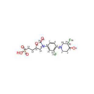 O=C1CCN(c2ccc(N3CC(CCS(=O)(=O)O)OC3=O)cc2F)C[C@H]1F